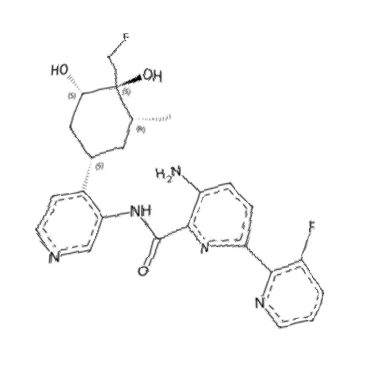 C[C@@H]1C[C@H](c2ccncc2NC(=O)c2nc(-c3ncccc3F)ccc2N)C[C@H](O)[C@]1(O)CF